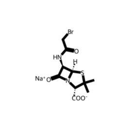 CC1(C)S[C@@H]2[C@H](NC(=O)CBr)C(=O)N2[C@H]1C(=O)[O-].[Na+]